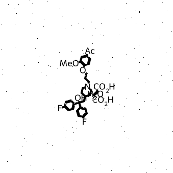 COc1cc(C(C)=O)ccc1OCCCN1CCC(CC(O)(c2ccc(F)cc2)c2ccc(F)cc2)CC1.O.O=C(O)C=CC(=O)O